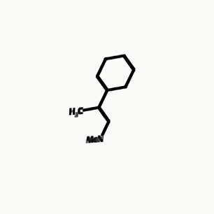 CNCC(C)C1CCCCC1